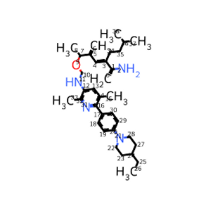 C=C(N)/C(=C/C(=C)C(C)OCNc1cc(C)c(-c2ccc(N3CCC(CC)CC3)cc2)nc1C)CCC(C)C